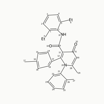 CCc1cccc(CC)c1NC(=O)c1c(-c2ccc(C)cc2)n(-c2ccccc2C)c(C)cc1=O